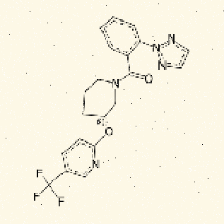 O=C(c1ccccc1-n1nccn1)N1CCC[C@@H](Oc2ccc(C(F)(F)F)cn2)C1